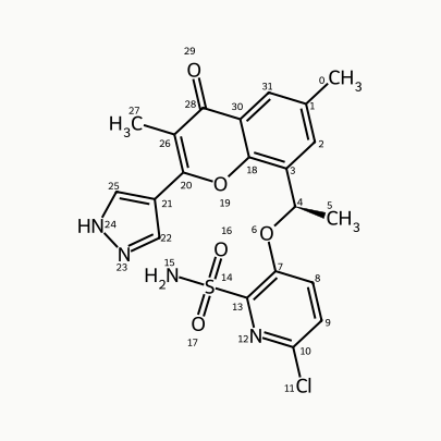 Cc1cc([C@@H](C)Oc2ccc(Cl)nc2S(N)(=O)=O)c2oc(-c3cn[nH]c3)c(C)c(=O)c2c1